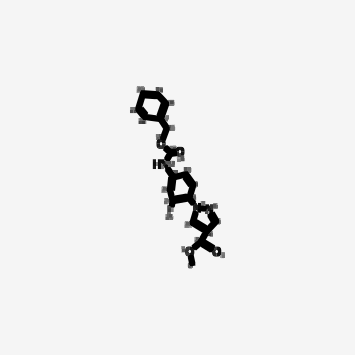 COC(=O)c1cnn(-c2ccc(NC(=O)OCc3ccccc3)cc2F)c1